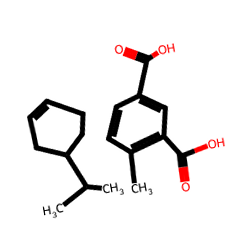 CC(C)C1CC=CCC1.Cc1ccc(C(=O)O)cc1C(=O)O